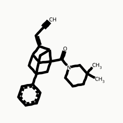 C#C/C=C1/C2CC3(c4ccccc4)CC1C(C(=O)N1CCCC(C)(C)C1)(C2)C3